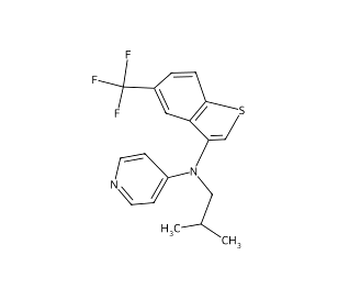 CC(C)CN(c1ccncc1)c1csc2ccc(C(F)(F)F)cc12